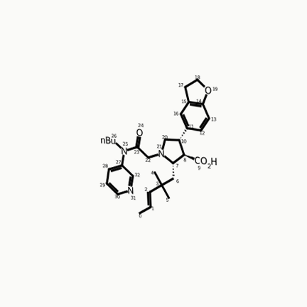 C/C=C/C(C)(C)C[C@H]1[C@H](C(=O)O)[C@@H](c2ccc3c(c2)CCO3)CN1CC(=O)N(CCCC)c1cccnc1